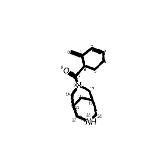 C=C1C=CCCC1C(=O)N1CC2CNCC(C2)C1